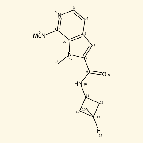 CNc1nccc2cc(C(=O)NC34CC(F)(C3)C4)n(C)c12